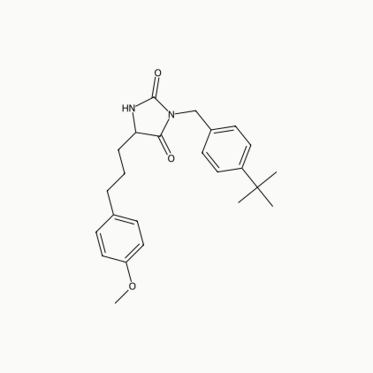 COc1ccc(CCCC2NC(=O)N(Cc3ccc(C(C)(C)C)cc3)C2=O)cc1